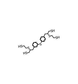 SCCSC(CS)Cc1ccc(Sc2cccc(CC(CS)SCCS)c2)cc1